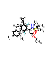 CCOC(=O)C[C@H](N[S@+]([O-])C(C)(C)C)c1c(F)c(-c2ccc(C)cc2C)c(C)c(C2CC2)c1F